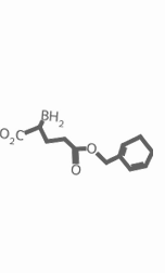 BC(CCC(=O)OCC1=CCCC=C1)C(=O)O